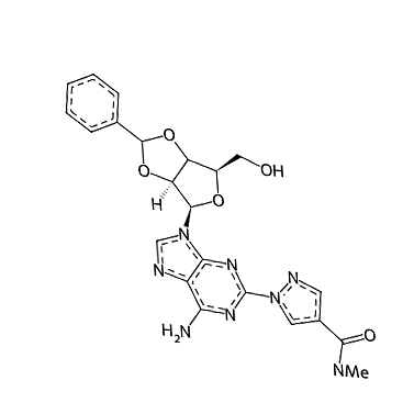 CNC(=O)c1cnn(-c2nc(N)c3ncn([C@@H]4O[C@H](CO)C5OC(c6ccccc6)O[C@@H]54)c3n2)c1